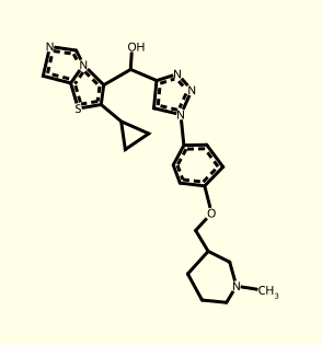 CN1CCCC(COc2ccc(-n3cc(C(O)c4c(C5CC5)sc5cncn45)nn3)cc2)C1